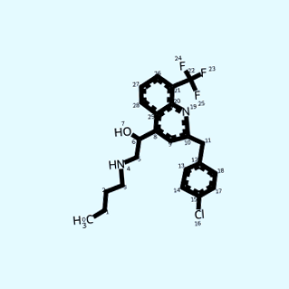 CCCCNCC(O)c1cc(Cc2ccc(Cl)cc2)nc2c(C(F)(F)F)cccc12